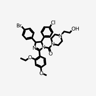 CCOc1cc(OC)ccc1C1=NC(c2ccc(Br)cc2)C(c2ccc(Cl)cc2)N1C(=O)N1CCN(CCO)CC1